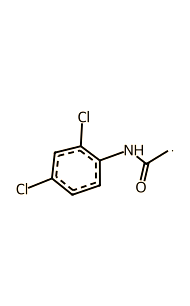 [CH2]C(=O)Nc1ccc(Cl)cc1Cl